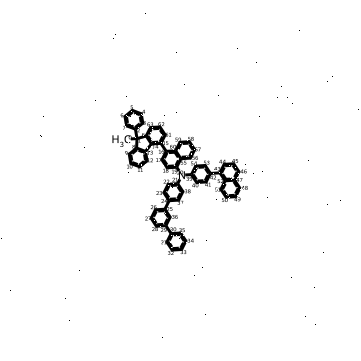 CC1(c2ccccc2)c2ccccc2-c2c(-c3ccc(N(c4ccc(-c5cccc(-c6ccccc6)c5)cc4)c4ccc(-c5cccc6ccccc56)cc4)c4ccccc34)cccc21